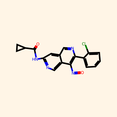 O=Nc1c(-c2ccccc2Cl)ncc2cc(NC(=O)C3CC3)ncc12